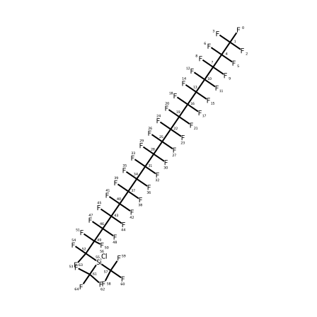 FC(F)(F)C(F)(F)C(F)(F)C(F)(F)C(F)(F)C(F)(F)C(F)(F)C(F)(F)C(F)(F)C(F)(F)C(F)(F)C(F)(F)C(F)(F)C(F)(F)C(F)(F)C(F)(F)C(F)(F)C(F)(F)[Si](Cl)(C(F)(F)F)C(F)(F)F